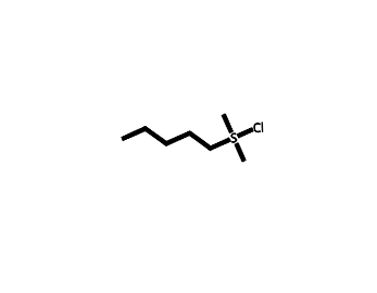 CCCCCS(C)(C)Cl